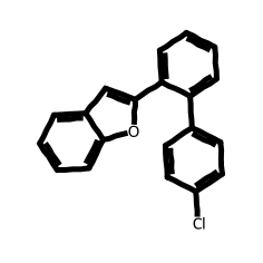 Clc1ccc(-c2ccccc2-c2cc3ccccc3o2)cc1